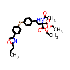 CCCc1nc(-c2ccc(Sc3ccc(CCC(NC(C)=O)(C(=O)OCC)C(=O)OCC)cc3)cc2)co1